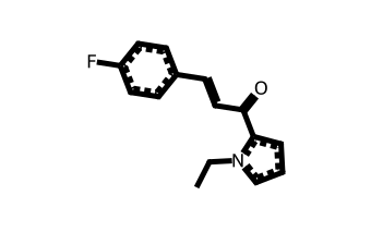 CCn1cccc1C(=O)/C=C/c1ccc(F)cc1